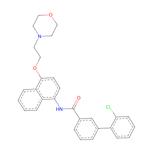 O=C(Nc1ccc(OCCN2CCOCC2)c2ccccc12)c1cccc(-c2ccccc2Cl)c1